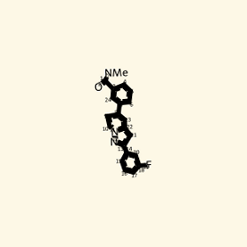 CNC(=O)c1cccc(-c2ccn3nc(-c4cccc(F)c4)cc3c2)c1